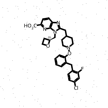 O=C(O)c1ccc2nc(CC3CCN(Oc4ccccc4Cc4ccc(Cl)cc4F)CC3)n(C[C@@H]3CCO3)c2n1